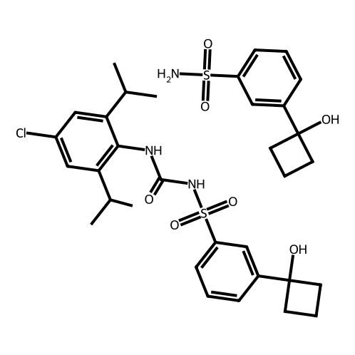 CC(C)c1cc(Cl)cc(C(C)C)c1NC(=O)NS(=O)(=O)c1cccc(C2(O)CCC2)c1.NS(=O)(=O)c1cccc(C2(O)CCC2)c1